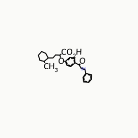 CC1CCCCC1CCC(Oc1ccc(C(=O)/C=C/c2ccccc2)cc1)C(=O)O